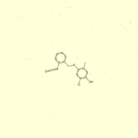 Cc1cc(O)c(Cl)cc1OCc1ccccc1N=C=O